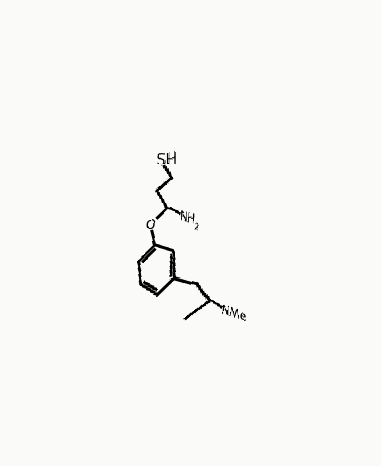 CNC(C)Cc1cccc(OC(N)CCS)c1